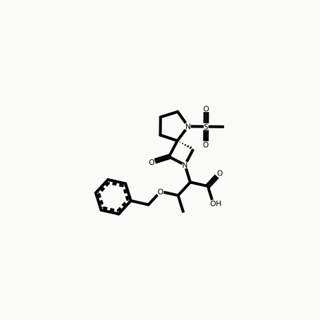 CC(OCc1ccccc1)C(C(=O)O)N1C[C@@]2(CCCN2S(C)(=O)=O)C1=O